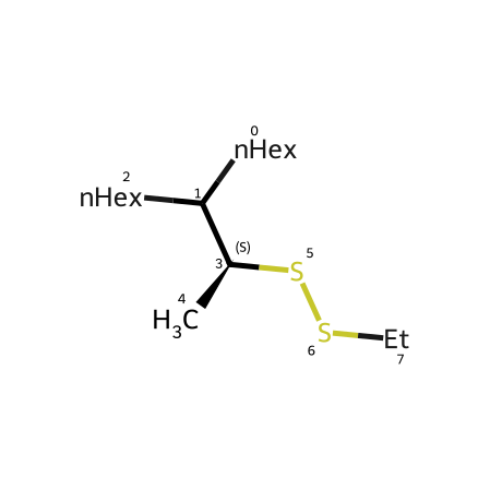 CCCCCCC(CCCCCC)[C@H](C)SSCC